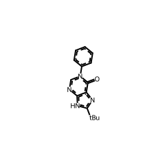 CC(C)(C)c1nc2c(=O)n(-c3ccccc3)cnc2[nH]1